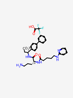 NCCC[C@@H](NC(=O)CCCCNc1ccccn1)C(=O)NC(CC(=O)O)c1ccc(-c2ccccc2)cc1.O=C(O)C(F)(F)F